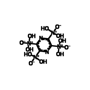 [O-][N+](O)(O)c1nc([N+]([O-])(O)O)c([N+]([O-])(O)O)nc1[N+]([O-])(O)O